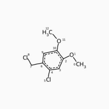 COc1cc(Cl)c(CCl)cc1OC